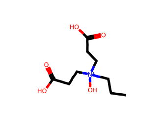 CCC[N+](O)(CCC(=O)O)CCC(=O)O